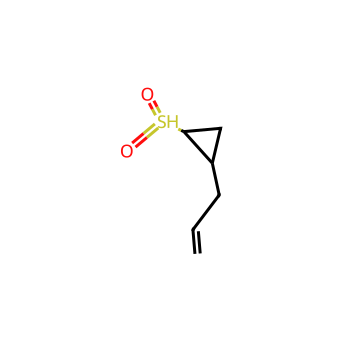 C=CCC1CC1[SH](=O)=O